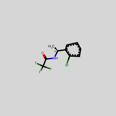 C[C@H](NC(=O)C(F)(F)F)c1ccccc1Br